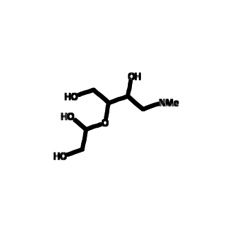 CNCC(O)C(CO)OC(O)CO